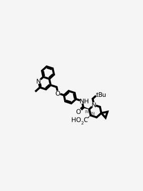 Cc1cc(COc2ccc(NC(=O)[C@@H]3[C@@H](C(=O)O)CC4(CC4)CN3CC(C)(C)C)cc2)c2ccccc2n1